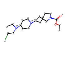 CCOC(=O)N1CCC2(CC(N3CCC(N(CC)CCF)CC3)C2)C1